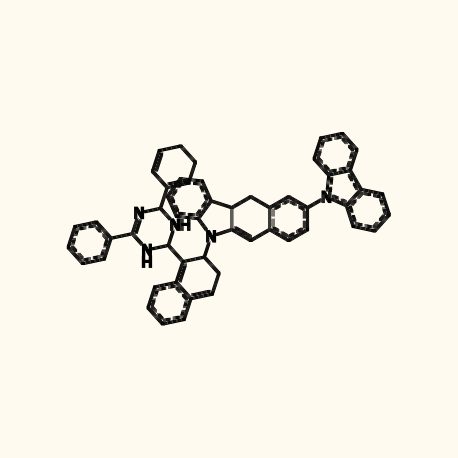 C1=CC(C2N=C(c3ccccc3)NC(C3=c4ccccc4=CCC3N3C4=Cc5ccc(-n6c7ccccc7c7ccccc76)cc5CC4c4ccccc43)N2)=CCC1